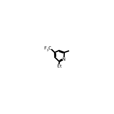 CCc1cc(C(F)(F)F)cc(C)n1